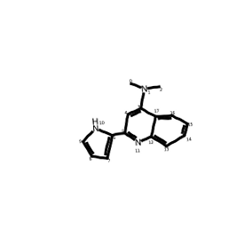 CN(C)c1cc(-c2ccc[nH]2)nc2ccccc12